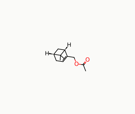 CC(=O)OCC1=CC[C@@H]2C[C@H]1C2(C)C